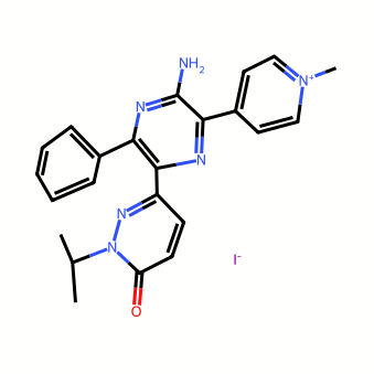 CC(C)n1nc(-c2nc(-c3cc[n+](C)cc3)c(N)nc2-c2ccccc2)ccc1=O.[I-]